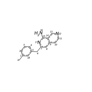 Cc1cccc(Cc2cc3ccncc3c(N)n2)c1